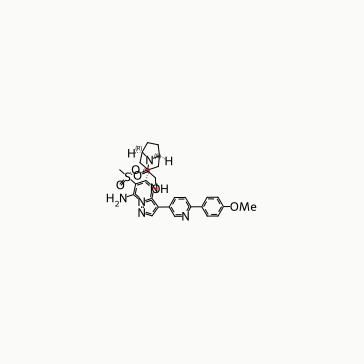 COc1ccc(-c2ccc(-c3cnn4c(N)c(S(C)(=O)=O)c([C@@H]5C[C@H]6CC[C@@H](C5)N6C(=O)CO)nc34)cn2)cc1